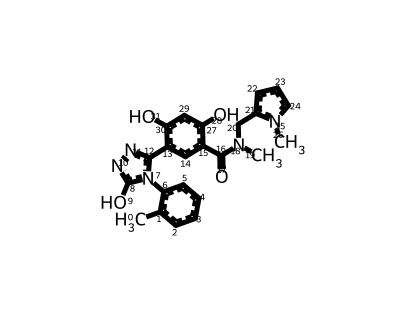 Cc1ccccc1-n1c(O)nnc1-c1cc(C(=O)N(C)Cc2cccn2C)c(O)cc1O